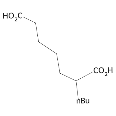 CCCCC(CCCCC(=O)O)C(=O)O